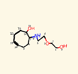 OCCOCCNC1CCC=CCCC1O